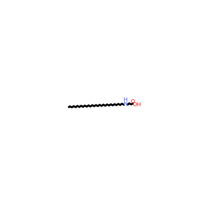 CCCCCCCCCCCCCCCCCCCCCCCCCCCCCCCNCCCC(=O)O